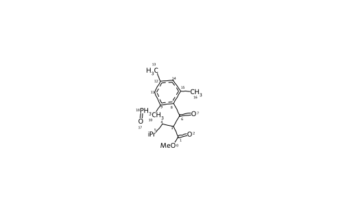 COC(=O)C(CC(C)C)C(=O)c1c(C)cc(C)cc1C.O=[PH3]